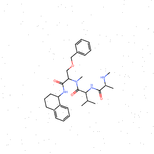 CNC(C)C(=O)NC(C(=O)N(C)C(COCc1ccccc1)C(=O)NC1CCCc2ccccc21)C(C)C